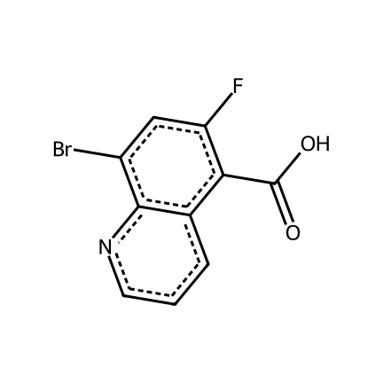 O=C(O)c1c(F)cc(Br)c2ncccc12